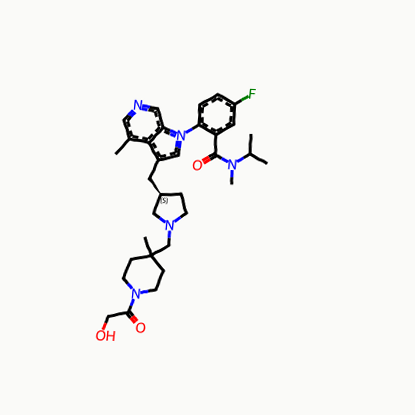 Cc1cncc2c1c(C[C@H]1CCN(CC3(C)CCN(C(=O)CO)CC3)C1)cn2-c1ccc(F)cc1C(=O)N(C)C(C)C